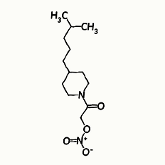 CC(C)CCCC1CCN(C(=O)CO[N+](=O)[O-])CC1